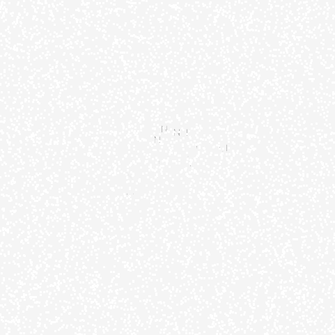 CCOC(=O)c1[nH]nnc1Oc1cccc(OC2CCCC2)c1